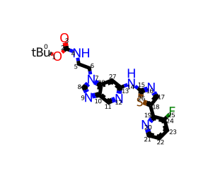 CC(C)(C)OC(=O)NCCn1cnc2cnc(Nc3ncc(-c4ncccc4F)s3)cc21